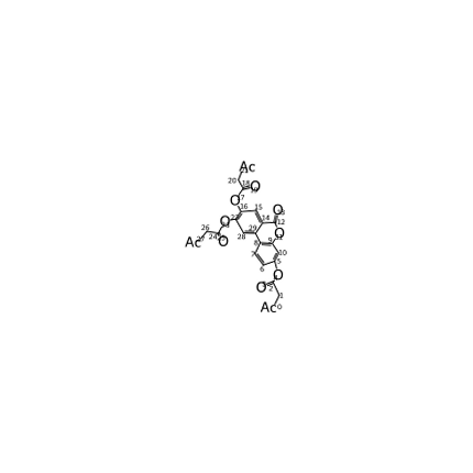 CC(=O)CC(=O)Oc1ccc2c(c1)oc(=O)c1cc(OC(=O)CC(C)=O)c(OC(=O)CC(C)=O)cc12